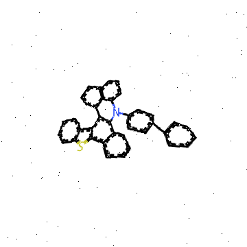 c1ccc(-c2ccc(N(c3ccccc3)c3c(-c4ccccc4)c4c5ccccc5sc4c4ccccc34)cc2)cc1